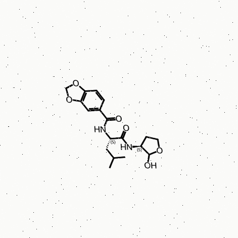 CC(C)C[C@H](NC(=O)c1ccc2c(c1)OCO2)C(=O)N[C@H]1CCOC1O